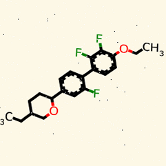 CCOc1ccc(-c2ccc(C3CCC(CC)CO3)cc2F)c(F)c1F